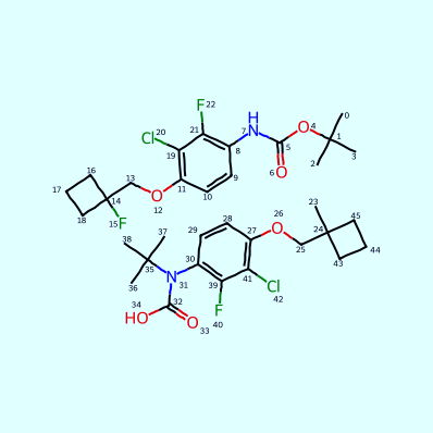 CC(C)(C)OC(=O)Nc1ccc(OCC2(F)CCC2)c(Cl)c1F.CC1(COc2ccc(N(C(=O)O)C(C)(C)C)c(F)c2Cl)CCC1